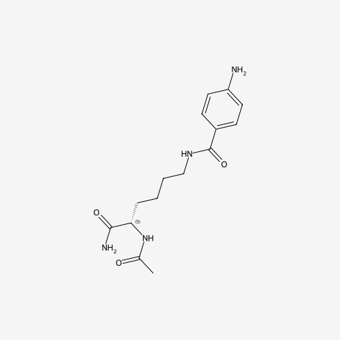 CC(=O)N[C@@H](CCCCNC(=O)c1ccc(N)cc1)C(N)=O